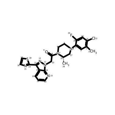 Cc1cc(N2CCN(C(=O)Cn3nc(-c4nccs4)c4cccnc43)[C@@H](C)C2)c(F)cc1Cl